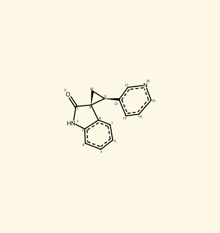 O=C1Nc2ccccc2[C@]12C[C@H]2c1cccnc1